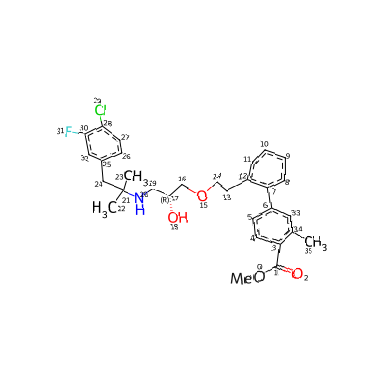 COC(=O)c1ccc(-c2ccccc2CCOC[C@H](O)CNC(C)(C)Cc2ccc(Cl)c(F)c2)cc1C